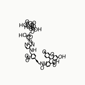 O=C(NCC#Cc1ccc(CNc2ccnc3c2ncn3[C@H]2C[C@@H](O)[C@@H](COP(=O)(O)OP(=O)(O)OP(=O)(O)O)O2)c([N+](=O)[O-])c1)c1ccc(C(=O)O)c(-c2c3ccc(=O)cc-3oc3cc(O)ccc23)c1